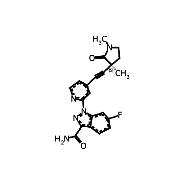 CN1CC[C@@](C)(C#Cc2ccnc(-n3nc(C(N)=O)c4ccc(F)cc43)c2)C1=O